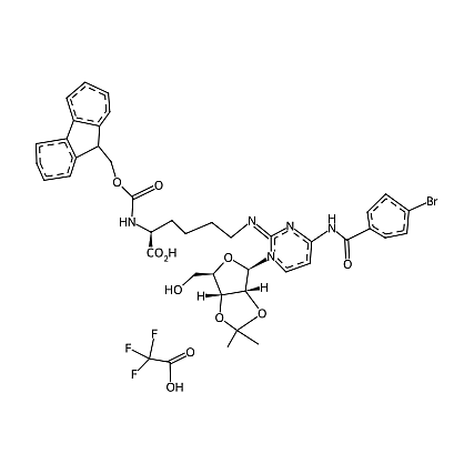 CC1(C)O[C@@H]2[C@H](O1)[C@@H](CO)O[C@H]2n1ccc(NC(=O)c2ccc(Br)cc2)nc1=NCCCC[C@H](NC(=O)OCC1c2ccccc2-c2ccccc21)C(=O)O.O=C(O)C(F)(F)F